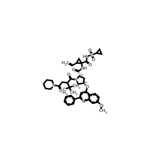 C=CC1CC1(NC(=O)[C@@H]1C[C@@H](Oc2cc(-c3ccccc3)nc3cc(OC)ccc23)CN1C(=O)C(CC(=O)N1CCCCC1)C(C)(C)C)C(=O)NS(=O)(=O)C1CC1